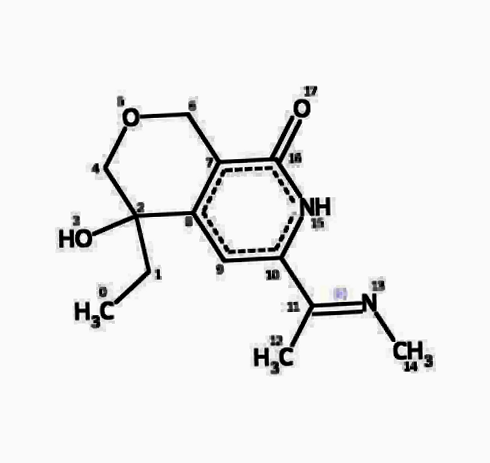 CCC1(O)COCc2c1cc(/C(C)=N/C)[nH]c2=O